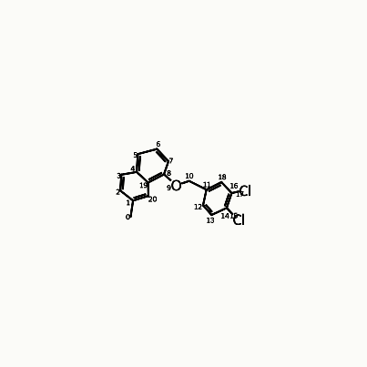 Cc1ccc2cccc(OCc3ccc(Cl)c(Cl)c3)c2c1